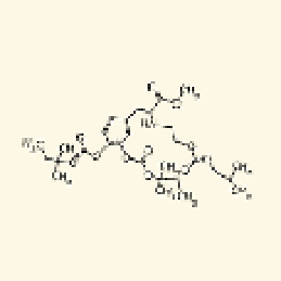 CCC(C)(C)OC(=O)Oc1ccc(C[C@H](NCCOC(=O)OCC(C)C)C(=O)OC)cc1OC(=O)OC(C)(C)CC